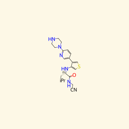 CC(C)C[C@H](Nc1cscc1-c1ccc(N2CCNCC2)nc1)C(=O)NCC#N